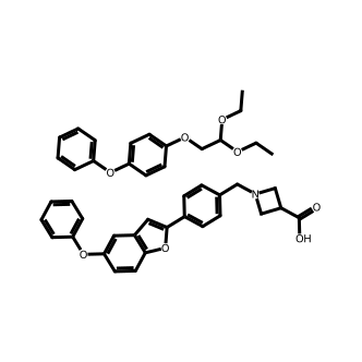 CCOC(COc1ccc(Oc2ccccc2)cc1)OCC.O=C(O)C1CN(Cc2ccc(-c3cc4cc(Oc5ccccc5)ccc4o3)cc2)C1